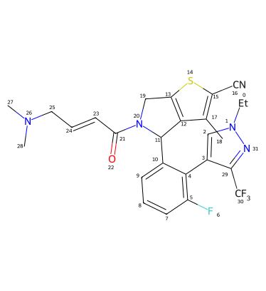 CCn1cc(-c2c(F)cccc2C2c3c(sc(C#N)c3C)CN2C(=O)C=CCN(C)C)c(C(F)(F)F)n1